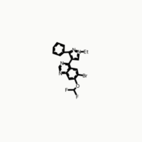 CCn1cc(-c2ncnc3cc(OC(F)F)c(Br)cc23)c(-c2ccccc2)n1